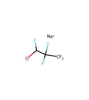 [Na+].[O-]C(F)C(F)(F)C(F)(F)F